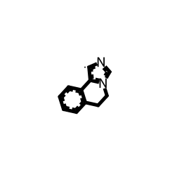 [c]1ncn2c1-c1ccccc1CC2